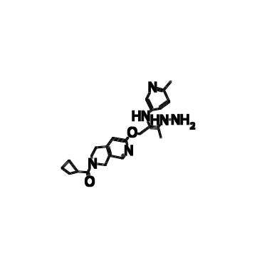 C/C(NN)=C(\COc1cc2c(cn1)CN(C(=O)C1CCC1)CC2)Nc1ccc(C)nc1